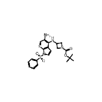 CC(C)(C)OC(=O)N1CC(Nc2c(N)cnc3c2ccn3S(=O)(=O)c2ccccc2)C1